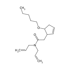 C=CCN(CC=C)C(=O)CC1C=CCC1OCCCCC